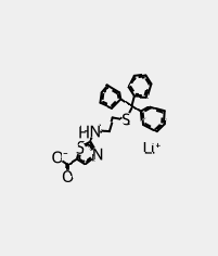 O=C([O-])c1cnc(NCCSC(c2ccccc2)(c2ccccc2)c2ccccc2)s1.[Li+]